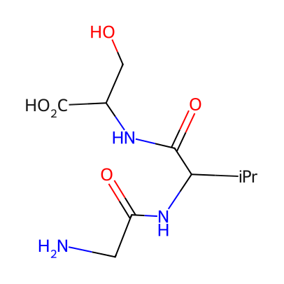 CC(C)C(NC(=O)CN)C(=O)NC(CO)C(=O)O